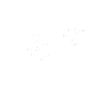 C[SiH](C)O[Si](C)(C)CCCCCC[Si](C)(C)O[SiH](C)O[Si](C)(C)C